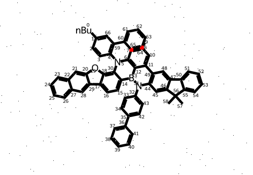 CCCCc1ccc(N2c3cc(C)cc4c3B(c3ccc5c(oc6cc7ccccc7cc65)c32)N(c2ccc(-c3ccccc3)cc2)c2cc3c(cc2-4)-c2ccccc2C3(C)C)c(-c2ccccc2)c1